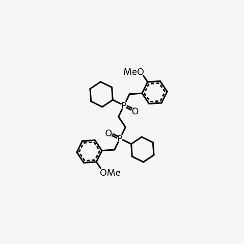 COc1ccccc1CP(=O)(CCP(=O)(Cc1ccccc1OC)C1CCCCC1)C1CCCCC1